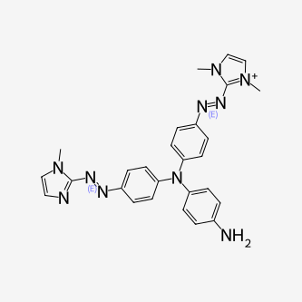 Cn1ccnc1/N=N/c1ccc(N(c2ccc(N)cc2)c2ccc(/N=N/c3n(C)cc[n+]3C)cc2)cc1